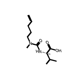 C=CCCCN(C)C(=O)N[C@H](C(=O)O)C(C)C